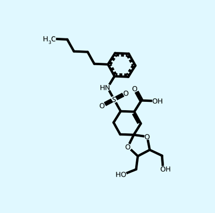 CCCCCc1ccccc1NS(=O)(=O)C1CCC2(C=C1C(=O)O)OC(CO)C(CO)O2